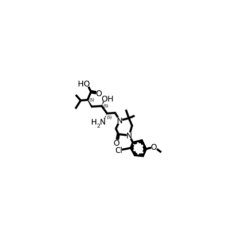 COc1ccc(Cl)c(N2CC(C)(C)N(C[C@H](N)[C@@H](O)C[C@H](C(=O)O)C(C)C)CC2=O)c1